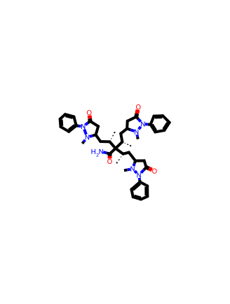 C[C@@H](CC1CC(=O)N(c2ccccc2)N1C)C(C(N)=O)([C@@H](C)CC1CC(=O)N(c2ccccc2)N1C)[C@@H](C)CC1CC(=O)N(c2ccccc2)N1C